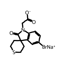 O=C([O-])CN1C(=O)C2(CCSCC2)c2cc(Br)ccc21.[Na+]